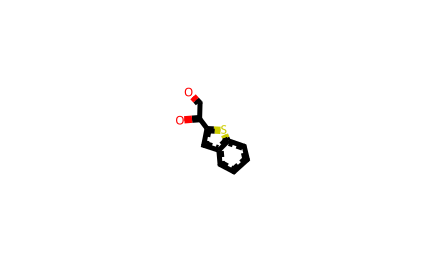 O=CC(=O)c1cc2ccccc2s1